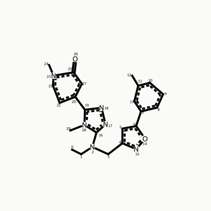 CCN(Cc1cc(-c2cccc(C)c2)on1)c1nnc(-c2ccn(C)c(=O)c2)n1C